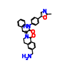 Cc1ncc(-c2ccc(NC(=O)[C@H](Cc3ccccc3)N3CCc4cc(CN)ccc4C3=O)cc2)o1